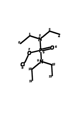 CCN(CC)P(=O)(OCl)N(CC)CC